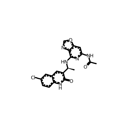 CC(=O)Nc1cc2ocnc2c(N[C@@H](C)c2cc3cc(Cl)ccc3[nH]c2=O)n1